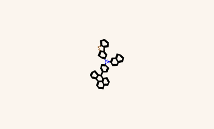 c1ccc2c(c1)-c1cccc3cccc(c13)C2c1ccc(N(c2ccc3ccccc3c2)c2ccc3sc4ccccc4c3c2)cc1